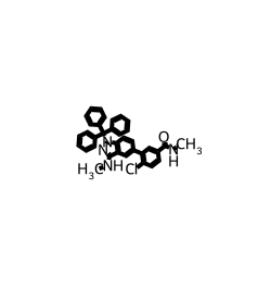 CNC(=O)c1ccc(Cl)c(-c2ccc3c(c2)c(NC)nn3C(c2ccccc2)(c2ccccc2)c2ccccc2)c1